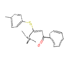 Cc1ccc(S/C(=C/C(=O)c2ccccc2)[Si](C)(C)C)cc1